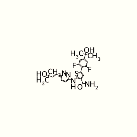 CC(C)(O)C=Cc1ccc(Nc2sc(-c3c(F)cc(C(C)(C)O)cc3F)cc2C(N)=O)nn1